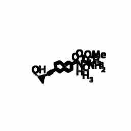 COC(=O)[C@@H](NC(=O)c1ccc2cc(C#C[C@H]3C[C@@H]3CO)ccc2c1)C(C)(C)N